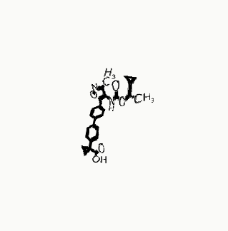 Cc1noc(-c2ccc(-c3ccc(C4(C(=O)O)C=C4)cc3)cc2)c1NC(=O)O[C@H](C)C1CC1